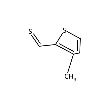 Cc1ccsc1C=S